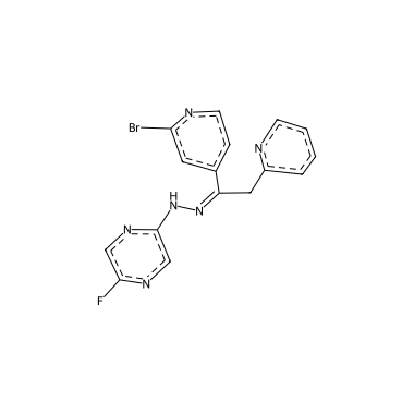 Fc1cnc(N/N=C(/Cc2ccccn2)c2ccnc(Br)c2)cn1